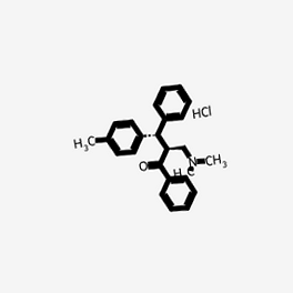 Cc1ccc([C@H](c2ccccc2)[C@@H](CN(C)C)C(=O)c2ccccc2)cc1.Cl